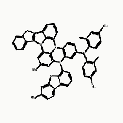 Cc1cc(C(C)(C)C)ccc1N(c1ccc2c(c1)N(c1cccc3c1oc1cc(C(C)(C)C)ccc13)c1cc(C(C)(C)C)cc3c1B2c1cccc2c4sc5ccccc5c4n-3c12)c1ccc(C(C)(C)C)cc1C